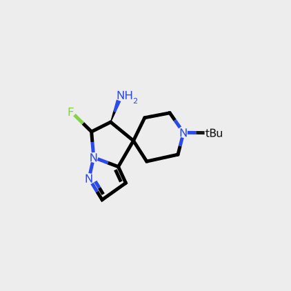 CC(C)(C)N1CCC2(CC1)c1ccnn1C(F)[C@H]2N